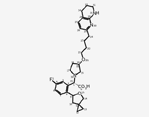 O=C(O)[C@H](c1cc(F)ccc1C1CC2(CC2)CO1)N1CC[C@@H](OCCCCc2ccc3c(n2)NCCC3)C1